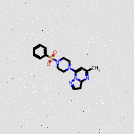 CC1=NC2CC=NN2C(N2CCN(S(=O)(=O)c3ccccc3)CC2)=C1